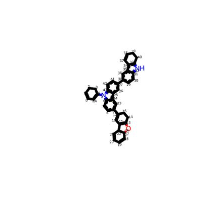 C1=CCCC(n2c3ccc(C4=CC5=C(CC4)OC4C=CC=CC54)cc3c3cc(-c4ccc5[nH]c6c(c5c4)C=CCC6)ccc32)=C1